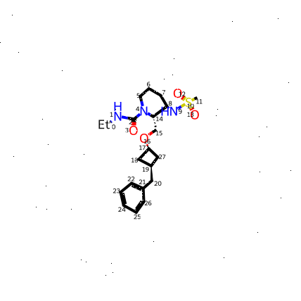 CCNC(=O)N1CCC[C@H](NS(C)(=O)=O)[C@@H]1CO[C@H]1C[C@H](Cc2ccccc2)C1